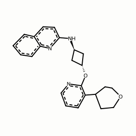 c1cnc(O[C@H]2C[C@H](Nc3ccc4ccccc4n3)C2)c(C2CCOCC2)c1